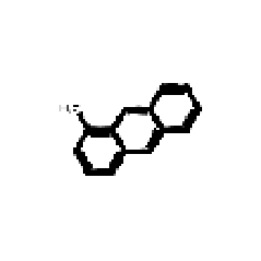 Cc1cccc2[c]c3ccccc3cc12